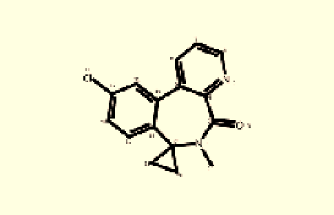 CN1C(=O)c2ncccc2-c2cc(Cl)ccc2C12CC2